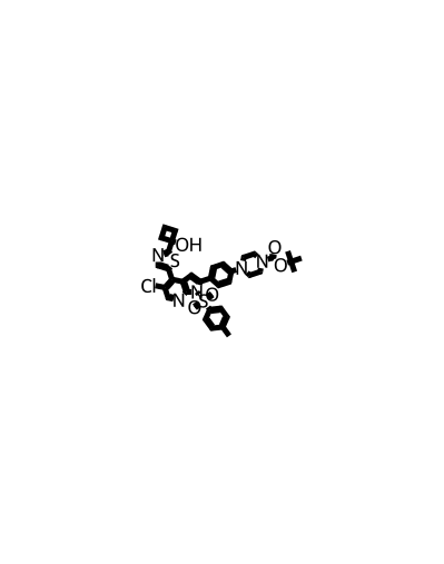 Cc1ccc(S(=O)(=O)n2c(-c3ccc(N4CCN(C(=O)OC(C)(C)C)CC4)cc3)cc3c(-c4cnc(C5(O)CCC5)s4)c(Cl)cnc32)cc1